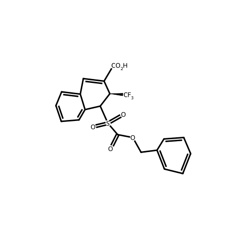 O=C(O)C1=Cc2ccccc2C(S(=O)(=O)C(=O)OCc2ccccc2)[C@@H]1C(F)(F)F